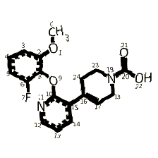 COc1cccc(F)c1Oc1ncccc1C1=CCN(C(=O)O)CC1